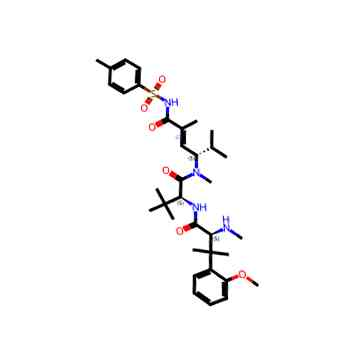 CN[C@H](C(=O)N[C@H](C(=O)N(C)[C@H](/C=C(\C)C(=O)NS(=O)(=O)c1ccc(C)cc1)C(C)C)C(C)(C)C)C(C)(C)c1ccccc1OC